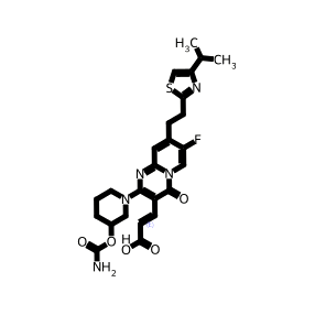 CC(C)c1csc(CCc2cc3nc(N4CCCC(OC(N)=O)C4)c(/C=C/C(=O)O)c(=O)n3cc2F)n1